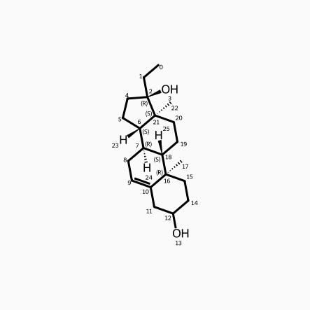 CC[C@@]1(O)CC[C@H]2[C@@H]3CC=C4CC(O)CC[C@]4(C)[C@H]3CC[C@@]21C